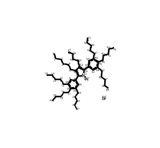 CCCCCCC1=C(c2cc(CCCCC)c(CCCCC)c(CCCCC)c2)[N+](=[N-])C(c2cc(CCCCC)c(CCCCC)c(CCCCC)c2)=C1CCCC.[Ni]